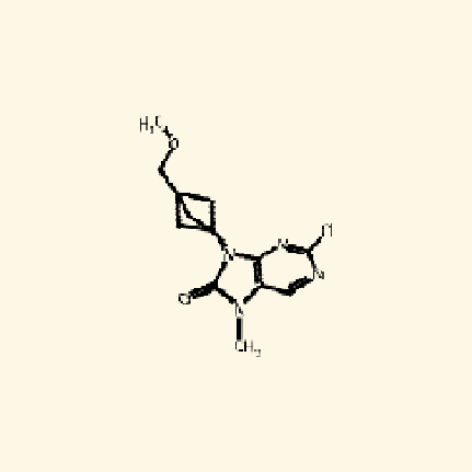 COCC12CC(n3c(=O)n(C)c4cnc(Cl)nc43)(C1)C2